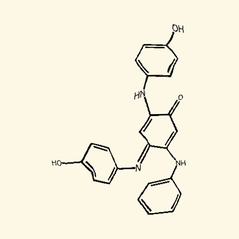 O=C1C=C(Nc2ccccc2)C(=Nc2ccc(O)cc2)C=C1Nc1ccc(O)cc1